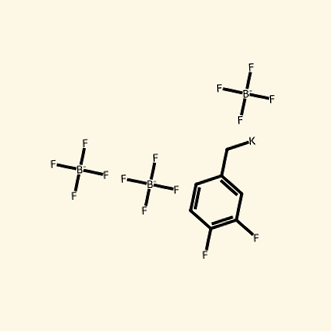 F[B-](F)(F)F.F[B-](F)(F)F.F[B-](F)(F)F.Fc1ccc([CH2][K])cc1F